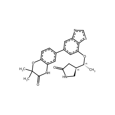 C[C@@H](Oc1cc(-c2ccc3c(c2)NC(=O)C(C)(C)O3)cc2ncsc12)[C@H]1CNC(=O)C1